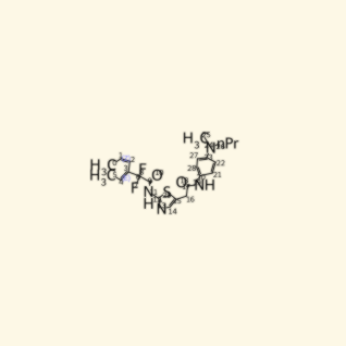 C/C=C\C(=C/C)C(F)(F)C(=O)Nc1ncc(CC(=O)Nc2ccc(N(C)CCC)cc2)s1